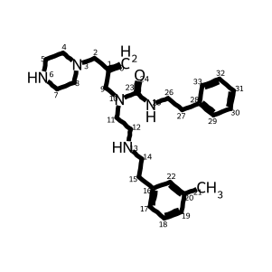 C=C(CN1CCNCC1)CN(CCNCCc1cccc(C)c1)C(=O)NCCc1ccccc1